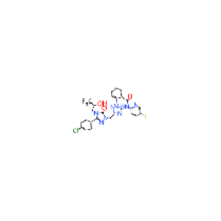 O=C(Nc1ccc(F)cn1)c1ccccc1-n1cnc(Cn2nc(-c3ccc(Cl)cc3)n(C[C@H](O)C(F)(F)F)c2=O)n1